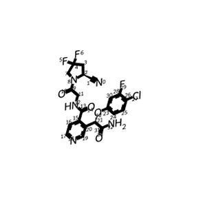 N#C[C@@H]1CC(F)(F)CN1C(=O)CNC(=O)c1ccncc1[C@H](Oc1ccc(Cl)c(F)c1)C(N)=O